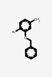 CC(=O)c1ccc(C)cc1OCc1ccccc1